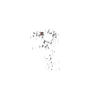 CC[C@@H]1OC(=O)[C@H](C)[C@H](O[C@@H]2C[C@](C)(OC)[C@H](OCCCN(C)CCNc3nc4c(cc3F)c(=O)c(C(=O)O)cn4CC)[C@H](C)O2)[C@@H](C)[C@H](O[C@H]2O[C@@H](C)C[C@@H](N(C)C)[C@H]2O)[C@](C)(OC)C[C@H](C)C(=O)C(C)[C@H]2OC(=O)O[C@@]12C